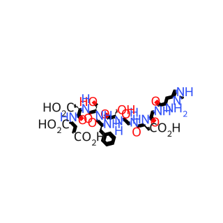 N[C@@H](Cc1c[nH]cn1)C(=O)NCC(=O)N[C@@H](CC(=O)O)C(=O)NCC(=O)N[C@@H](CO)C(=O)N[C@@H](Cc1ccccc1)C(=O)N[C@@H](CO)C(=O)N[C@@H](CC(=O)O)C(=O)N[C@@H](CCC(=O)O)C(=O)O